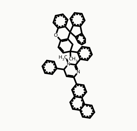 CN1C(c2ccccc2C2(C)C=CC3=C(C2)C2(c4ccccc4O3)c3ccccc3-c3ccccc32)=NC(c2ccc3c(ccc4ccccc43)c2)=CC1c1ccccc1